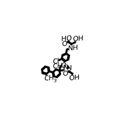 Cc1ccccc1C1=CC=CC(COc2ccc(CNC(CO)C(=O)O)cc2Cl)(c2nnc(CO)o2)C1C